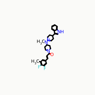 Cc1cc(/C=C/C(=O)N2CCC(N(C)N3CCC(c4c[nH]c5ccccc45)CC3)CC2)cc(F)c1F